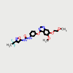 COCCOc1cc2ncnc(Oc3cccc(NC(=O)Nc4cc(C(C)(F)F)no4)c3)c2cc1OC